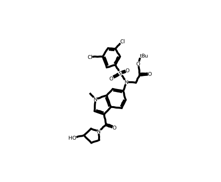 Cn1cc(C(=O)N2CCC(O)C2)c2ccc(N(CC(=O)OC(C)(C)C)S(=O)(=O)c3cc(Cl)cc(Cl)c3)cc21